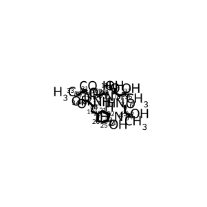 C[C@@H](O)[C@H](N)C(=O)N[C@H](C(=O)N[C@@H](CO)C(=O)N[C@@H](Cc1ccc(O)cc1)C(=O)N[C@H](C(=O)O)[C@@H](C)O)[C@@H](C)O